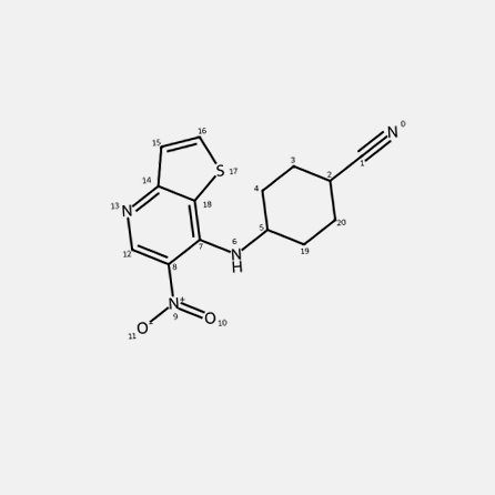 N#CC1CCC(Nc2c([N+](=O)[O-])cnc3ccsc23)CC1